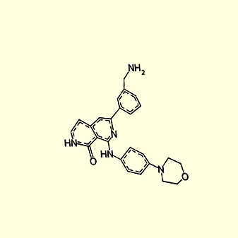 NCc1cccc(-c2cc3cc[nH]c(=O)c3c(Nc3ccc(N4CCOCC4)cc3)n2)c1